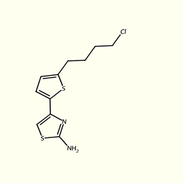 Nc1nc(-c2ccc(CCCCCl)s2)cs1